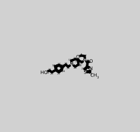 Cc1nc(C(=O)N2CCOC3(CCN(CCc4ccc(CCO)cc4)CC3)C2)cs1